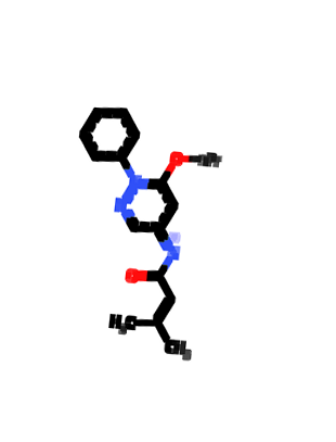 CCCOc1c/c(=N/C(=O)C=C(C)C)cnn1-c1ccccc1